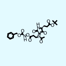 CC(=O)N(CCC(=O)ONC(=O)OCc1ccccc1)N1C(=O)N[C@@H](CCC(=O)OC(C)(C)C)C1=O